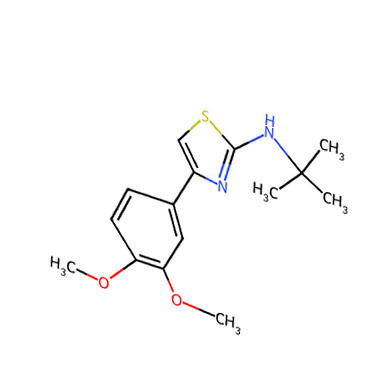 COc1ccc(-c2csc(NC(C)(C)C)n2)cc1OC